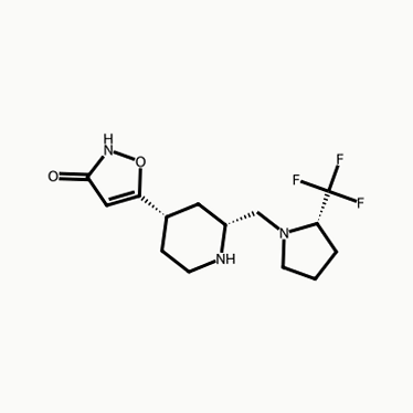 O=c1cc([C@H]2CCN[C@@H](CN3CCC[C@H]3C(F)(F)F)C2)o[nH]1